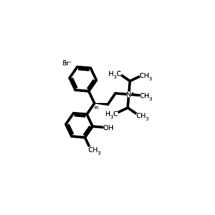 Cc1cccc([C@H](CC[N+](C)(C(C)C)C(C)C)c2ccccc2)c1O.[Br-]